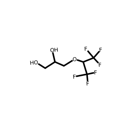 OCC(O)COC(C(F)(F)F)C(F)(F)F